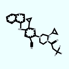 N#Cc1cc(Nc2ccnc3ccccc23)c(C2CC2)nc1N1CCN(C(=O)CC(F)(F)F)[C@H](C2CC2)C1